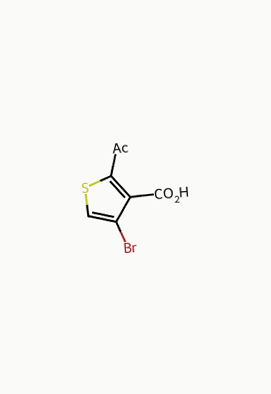 CC(=O)c1scc(Br)c1C(=O)O